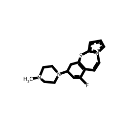 CN1CCN(C2C=C(F)C3=C(C2)Sc2cccn2C=C3)CC1